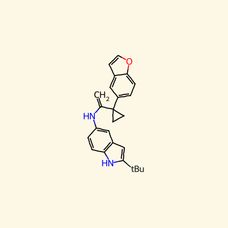 C=C(Nc1ccc2[nH]c(C(C)(C)C)cc2c1)C1(c2ccc3occc3c2)CC1